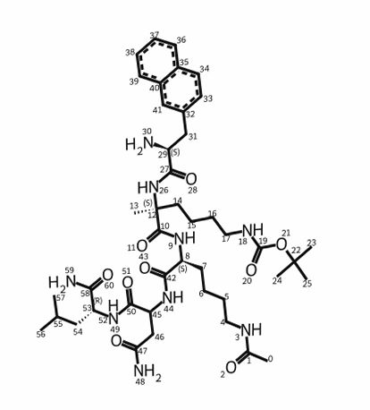 CC(=O)NCCCC[C@H](NC(=O)[C@](C)(CCCCNC(=O)OC(C)(C)C)NC(=O)[C@@H](N)Cc1ccc2ccccc2c1)C(=O)NC(CC(N)=O)C(=O)N[C@H](CC(C)C)C(N)=O